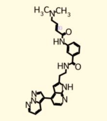 CN(C)C/C=C/C(=O)Nc1cccc(C(=O)NCCc2cc3c(-c4cnn5ncccc45)ccnc3[nH]2)c1